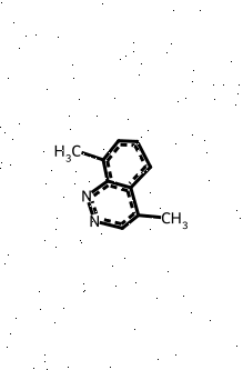 Cc1cnnc2c(C)cccc12